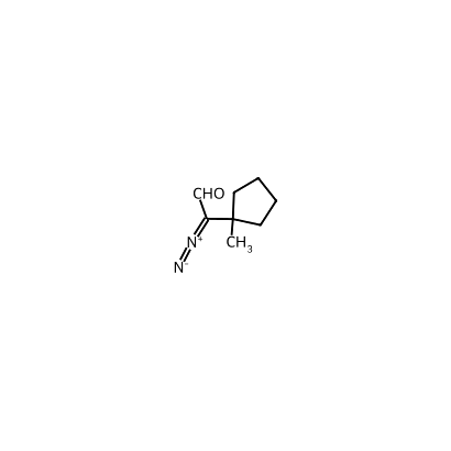 CC1(C(C=O)=[N+]=[N-])CCCC1